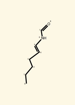 CCCCC=CN[C]=O